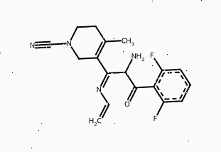 C=C/N=C(/C1=C(C)CCN(C#N)C1)C(N)C(=O)c1c(F)cccc1F